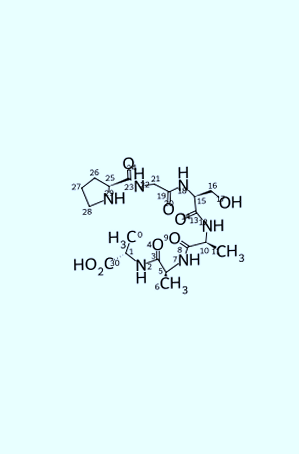 C[C@H](NC(=O)[C@H](C)NC(=O)[C@H](C)NC(=O)[C@H](CO)NC(=O)CNC(=O)[C@@H]1CCCN1)C(=O)O